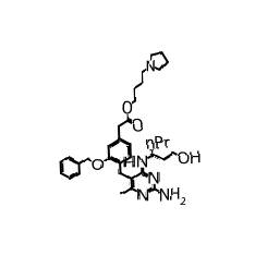 CCC[C@@H](CCO)Nc1nc(N)nc(C)c1Cc1ccc(CC(=O)OCCCCN2CCCC2)cc1OCc1ccccc1